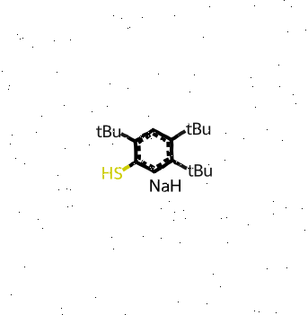 CC(C)(C)c1cc(C(C)(C)C)c(C(C)(C)C)cc1S.[NaH]